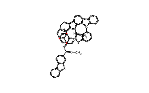 C=C=C(/N=C(\C=C=C(C)n1c2c(c3ccc4c5ccccc5n(-c5cccc6nc(-c7ccccc7)[nH]c56)c4c31)=CCCC=2)c1ccccc1)c1ccc2c(c1)sc1ccccc12